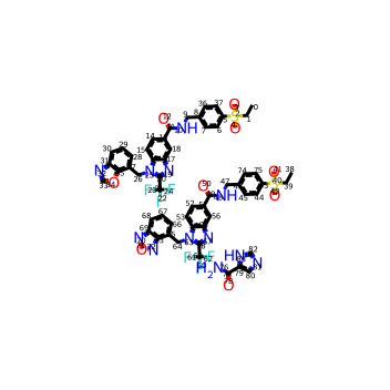 CCS(=O)(=O)c1ccc(CNC(=O)c2ccc3c(c2)nc(C(F)(F)F)n3Cc2cccc3ncoc23)cc1.CCS(=O)(=O)c1ccc(CNC(=O)c2ccc3c(c2)nc(C(F)(F)F)n3Cc2cccc3nonc23)cc1.NC(=O)c1cnc[nH]1